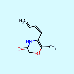 C=C/C=C\C1=C(C)OCC(=O)N1